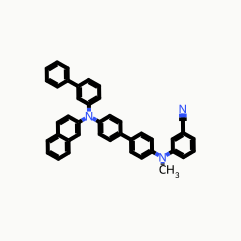 CN(c1ccc(-c2ccc(N(c3cccc(-c4ccccc4)c3)c3ccc4ccccc4c3)cc2)cc1)c1cccc(C#N)c1